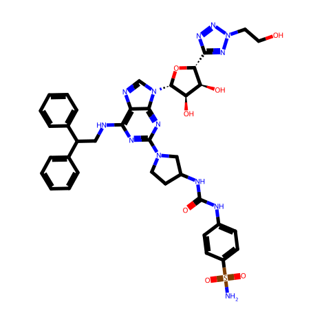 NS(=O)(=O)c1ccc(NC(=O)NC2CCN(c3nc(NCC(c4ccccc4)c4ccccc4)c4ncn([C@@H]5O[C@H](c6nnn(CCO)n6)[C@@H](O)[C@H]5O)c4n3)C2)cc1